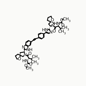 COC(=O)N[C@H](C(=O)N1C[C@]2(CCCO2)C[C@H]1c1ncc(-c2ccc(C#Cc3ccc4nc([C@@H]5C[C@@]6(CCCO6)CN5C(=O)[C@@H](NC(=O)OC)C(C)C)[nH]c4c3)cc2)[nH]1)C(C)C